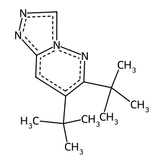 CC(C)(C)c1cc2nncn2nc1C(C)(C)C